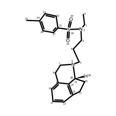 CCN(CCCN1CCc2cccc3c2[C@H]1CC3)S(=O)(=O)c1ccc(C)cc1